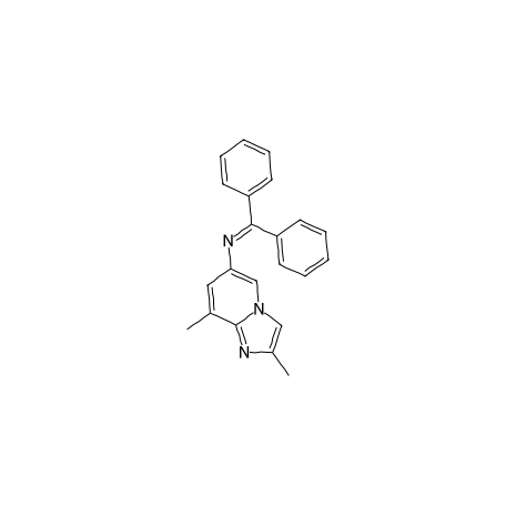 Cc1cn2cc(N=C(c3ccccc3)c3ccccc3)cc(C)c2n1